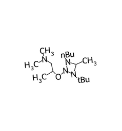 CCCCN1C(C)N(C(C)(C)C)N1OC(C)CN(C)C